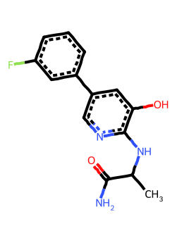 CC(Nc1ncc(-c2cccc(F)c2)cc1O)C(N)=O